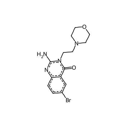 Nc1nc2ccc(Br)cc2c(=O)n1CCN1CCOCC1